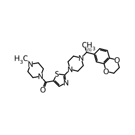 C[C@@H](c1ccc2c(c1)OCCO2)N1CCN(c2ncc(C(=O)N3CCN(C)CC3)s2)CC1